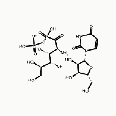 N[C@@H](C(=O)P(=O)(O)OP(=O)(O)O)[C@@H](O)[C@H](O)[C@H](O)CO.O=c1ccn([C@@H]2O[C@H](CO)[C@@H](O)[C@H]2O)c(=O)[nH]1